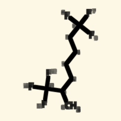 CC([CH]CCCC(F)(F)F)C(F)(F)F